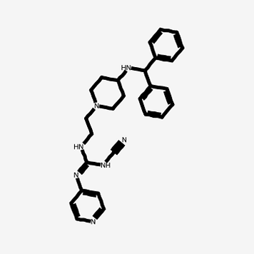 N#CNC(=Nc1ccncc1)NCCN1CCC(NC(c2ccccc2)c2ccccc2)CC1